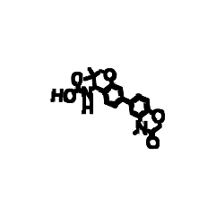 CN1C(=O)COc2ccc(-c3ccc4c(c3)OCC(C)(C)C4NC(=O)O)cc21